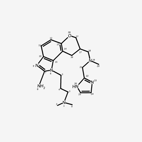 CN(C)CCCn1c(N)nc2ccc3c(c21)CC(CN(C)Cc1ncc[nH]1)CO3